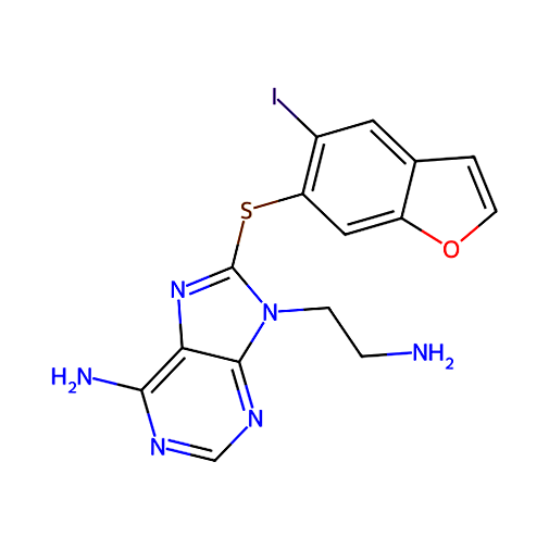 NCCn1c(Sc2cc3occc3cc2I)nc2c(N)ncnc21